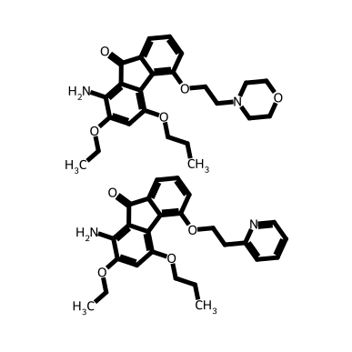 CCCOc1cc(OCC)c(N)c2c1-c1c(OCCN3CCOCC3)cccc1C2=O.CCCOc1cc(OCC)c(N)c2c1-c1c(OCCc3ccccn3)cccc1C2=O